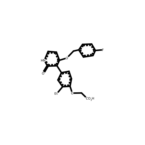 CCc1cc(-c2c(OCc3ccc(F)cc3)cc[nH]c2=O)ccc1OCC(=O)O